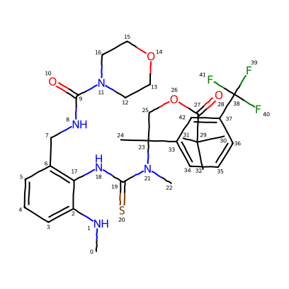 CNc1cccc(CNC(=O)N2CCOCC2)c1NC(=S)N(C)C(C)(COC(=O)C(C)(C)C)c1cccc(C(F)(F)F)c1